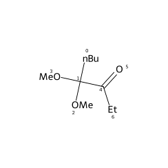 CCCCC(OC)(OC)C(=O)CC